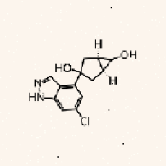 OC1[C@H]2CC(O)(c3cc(Cl)cc4[nH]ncc34)C[C@@H]12